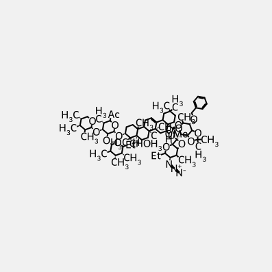 CCC1O[C@@H]2C(OC2(OC(=O)[C@]23CCC(C)(C)CC2C2=CCC4C5(C)CC[C@H](O[C@@H]6OC(C(C)=O)[C@@H](C)[C@H](O[C@@H]7OC[C@@H](C)[C@H](C)C7C)C6O[C@@H]6OC(CC)[C@H](C)[C@H](C)C6C)[C@](C)(C=O)[C@@H]5CC[C@]4(C)[C@]2(C)CC3OC)[C@@H]2OC(C)[C@H](OCc3ccccc3)C3OC(C)(C)OC32)C(C)[C@H]1N=[N+]=[N-]